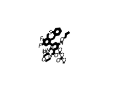 C=CCO/N=c1\cc(-c2cc(F)c(F)c3c2Cc2ccccc2SC3)n2c(c1OCOC(=O)OC)C(=O)N1CCOC[C@H]1N2